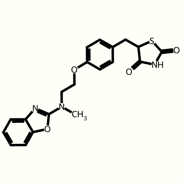 CN(CCOc1ccc(CC2SC(=O)NC2=O)cc1)c1nc2ccccc2o1